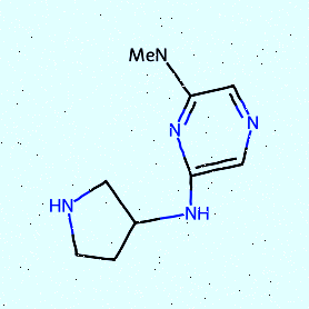 CNc1cncc(NC2CCNC2)n1